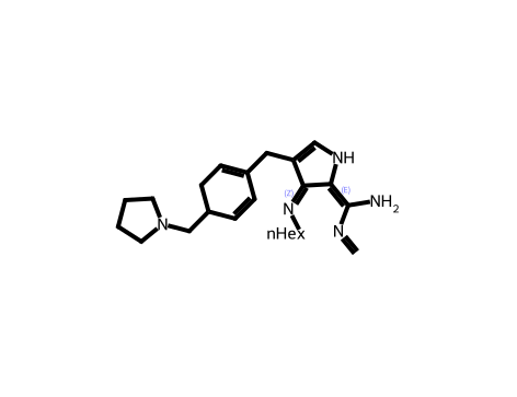 C=N/C(N)=C1/NC=C(CC2=CCC(CN3CCCC3)C=C2)/C1=N/CCCCCC